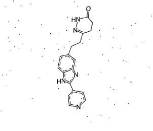 O=C1CCC(CCc2ccc3[nH]c(-c4ccncc4)nc3c2)=NN1